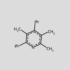 Cc1nc(C(C)C)c(C)c(C(C)C)c1C